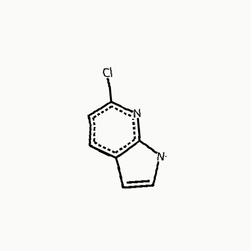 Clc1ccc2c(n1)[N]C=C2